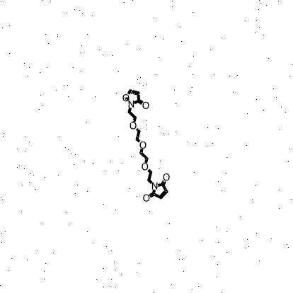 O=C1C=CC(=O)N1CCOCCOCCOCCn1occc1=O